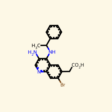 CC(Nc1c(N)cnc2cc(Br)c(CC(=O)O)cc12)c1ccccc1